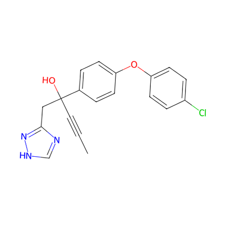 CC#CC(O)(Cc1nc[nH]n1)c1ccc(Oc2ccc(Cl)cc2)cc1